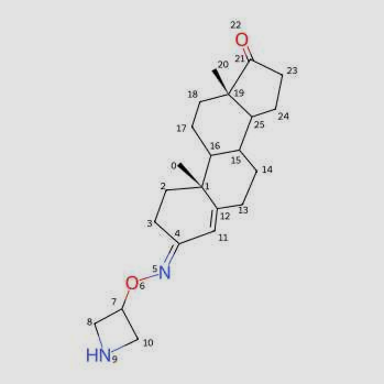 C[C@]12CCC(=NOC3CNC3)C=C1CCC1C2CC[C@]2(C)C(=O)CCC12